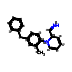 Cc1cc(Cc2ccccc2)ccc1N1C=CC=CC1C=N